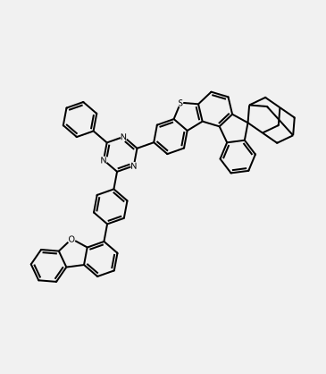 c1ccc(-c2nc(-c3ccc(-c4cccc5c4oc4ccccc45)cc3)nc(-c3ccc4c(c3)sc3ccc5c(c34)-c3ccccc3C53C4CC5CC(C4)CC3C5)n2)cc1